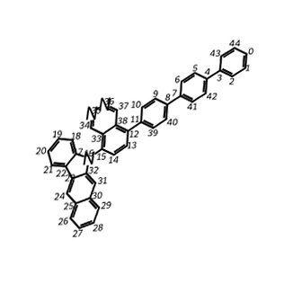 c1ccc(-c2ccc(-c3ccc(-c4ccc(-n5c6ccccc6c6cc7ccccc7cc65)c5cnncc45)cc3)cc2)cc1